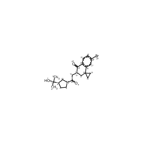 CC(C)(O)[C@@H]1CCN(C(=O)CN2CC3(CC3)c3cc(Br)ccc3C2=O)C1